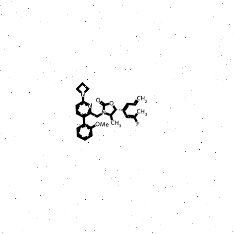 C=C/C=C(\C=C(/C)F)[C@H]1OC(=O)N(Cc2nc(N3CCC3)ccc2-c2ccccc2OC)C1C